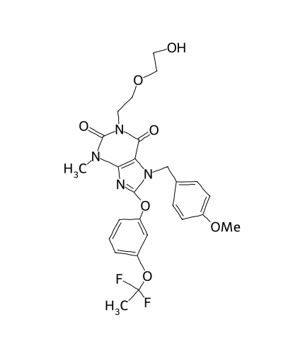 COc1ccc(Cn2c(Oc3cccc(OC(C)(F)F)c3)nc3c2c(=O)n(CCOCCO)c(=O)n3C)cc1